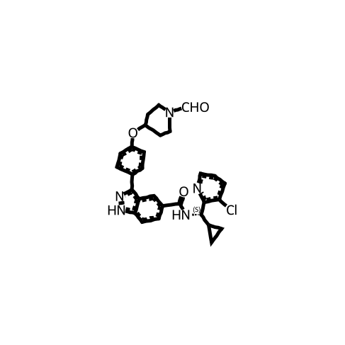 O=CN1CCC(Oc2ccc(-c3n[nH]c4ccc(C(=O)N[C@H](c5ncccc5Cl)C5CC5)cc34)cc2)CC1